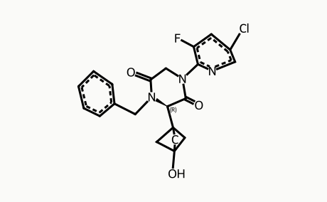 O=C1[C@@H](C23CC(O)(C2)C3)N(Cc2ccccc2)C(=O)CN1c1ncc(Cl)cc1F